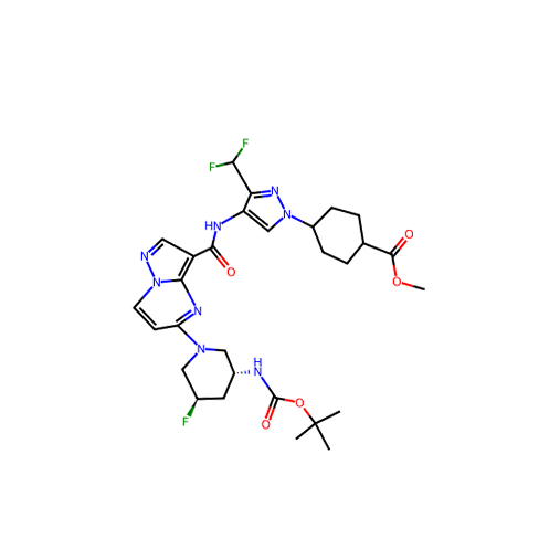 COC(=O)C1CCC(n2cc(NC(=O)c3cnn4ccc(N5C[C@H](F)C[C@@H](NC(=O)OC(C)(C)C)C5)nc34)c(C(F)F)n2)CC1